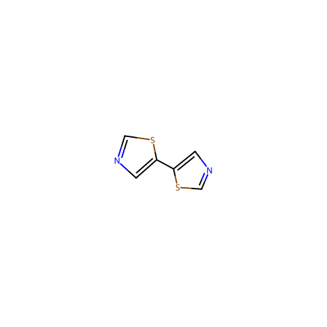 c1ncc(-c2cncs2)s1